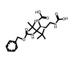 CC(C)(C)C(NC(=O)OCc1ccccc1)([C@H](CCNC(=O)O)NC(=O)O)C(C)(C)C